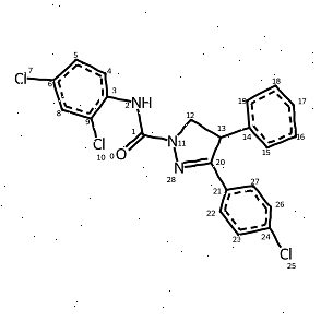 O=C(Nc1ccc(Cl)cc1Cl)N1CC(c2ccccc2)C(c2ccc(Cl)cc2)=N1